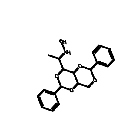 CC(NO)C1OC(c2ccccc2)OC2COC(c3ccccc3)OC21